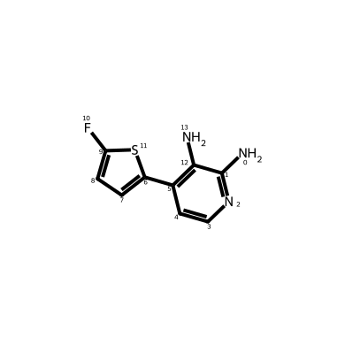 Nc1nccc(-c2ccc(F)s2)c1N